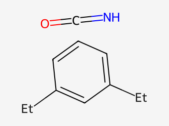 CCc1cccc(CC)c1.N=C=O